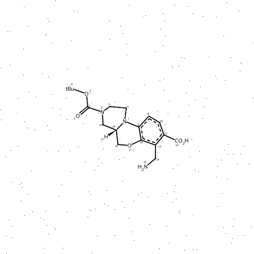 CC(C)(C)OC(=O)N1CCN2c3ccc(C(=O)O)c(CN)c3OC[C@@H]2C1